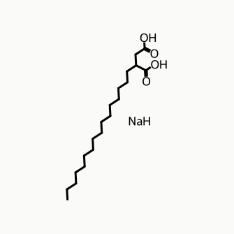 CCCCCCCCCCCCCCCCC(CC(=O)O)C(=O)O.[NaH]